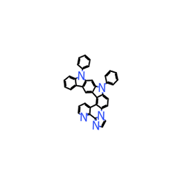 c1ccc(-n2c3ccccc3c3cc4c5c6c7cccnc7c7nccn7c6ccc5n(-c5ccccc5)c4cc32)cc1